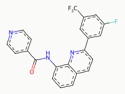 O=C(Nc1cccc2ccc(-c3cc(F)cc(C(F)(F)F)c3)nc12)c1ccncc1